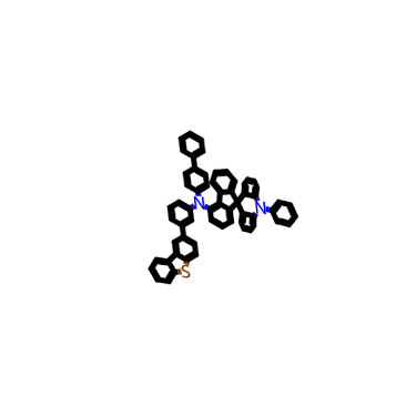 c1ccc(-c2ccc(N(c3cccc(-c4ccc5sc6ccccc6c5c4)c3)c3cccc4c3-c3ccccc3C43c4ccccc4N(c4ccccc4)c4ccccc43)cc2)cc1